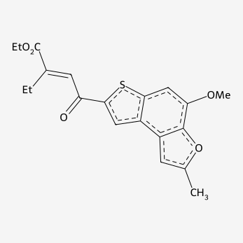 CCOC(=O)/C(=C/C(=O)c1cc2c(cc(OC)c3oc(C)cc32)s1)CC